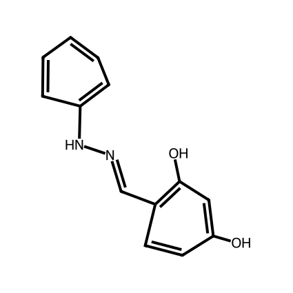 Oc1ccc(/C=N/Nc2ccccc2)c(O)c1